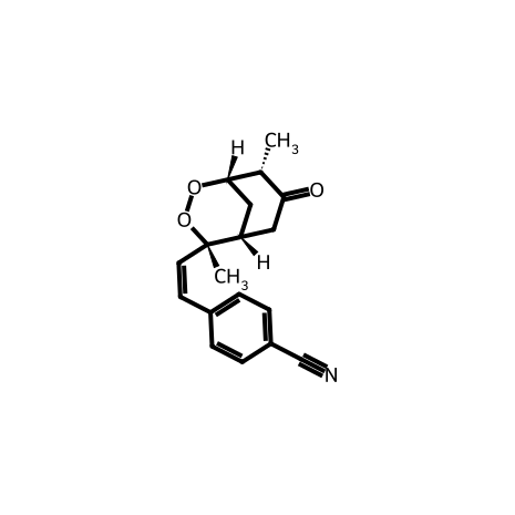 C[C@@H]1C(=O)C[C@H]2C[C@@H]1OO[C@@]2(C)/C=C\c1ccc(C#N)cc1